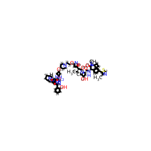 Cc1ncsc1-c1ccc([C@@H](NC(=O)[C@@H]2C[C@@H](O)CN2C(=O)[C@H](c2cc(OCCN3CCC(OC4CC(Oc5cc(N6C7CC[C@@H]6CN(c6cc(-c8ccccc8O)nnc6N)C7)ccn5)C4)CC3)no2)C(C)C)C(=O)N(C)C2CCC2)cc1